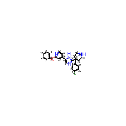 Fc1ccc(C2(c3ncc(-c4ccnc(Oc5ccccc5)c4)[nH]3)CCNCC2)cc1